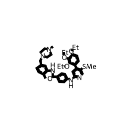 CCOc1ccc(-c2cc(Nc3ccc(C(=O)Nc4cc(CN5CCN(C)CC5)ccc4C)cc3)ncc2SC)c(OCC)c1OCC